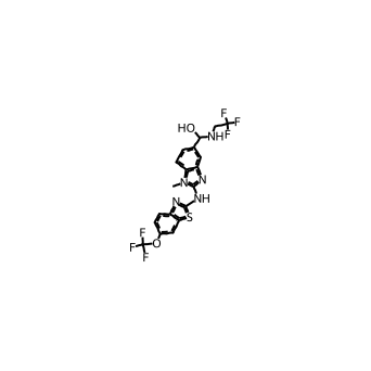 Cn1c(Nc2nc3ccc(OC(F)(F)F)cc3s2)nc2cc(C(O)NCC(F)(F)F)ccc21